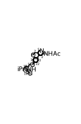 CC(=O)Nc1cc2c(cn1)COc1cc(OCC(CC(C)C)NS(C)(=O)=O)ccc1-2